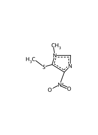 CSc1c([N+](=O)[O-])ncn1C